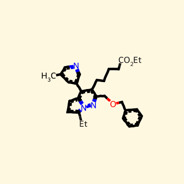 CCOC(=O)CCCCc1c(COCc2ccccc2)nn2c(CC)ccc2c1-c1cncc(C)c1